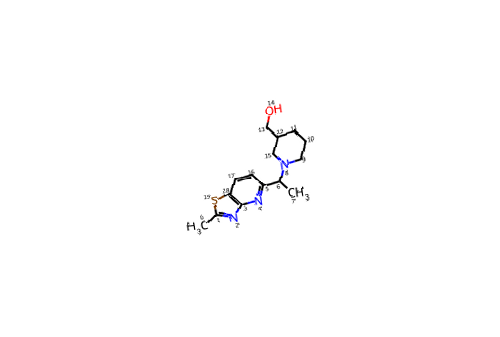 Cc1nc2nc(C(C)N3CCCC(CO)C3)ccc2s1